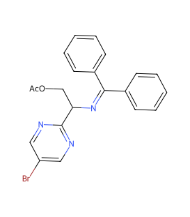 CC(=O)OCC(N=C(c1ccccc1)c1ccccc1)c1ncc(Br)cn1